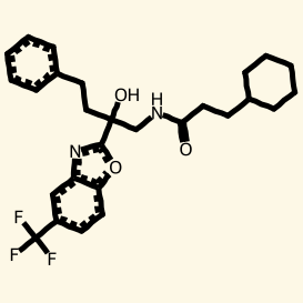 O=C(CCC1CCCCC1)NCC(O)(CCc1ccccc1)c1nc2cc(C(F)(F)F)ccc2o1